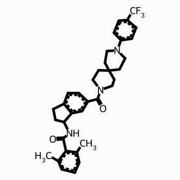 Cc1cccc(C)c1C(=O)NC1CCc2ccc(C(=O)N3CCC4(CC3)CCN(c3ccc(C(F)(F)F)cc3)CC4)cc21